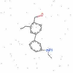 CCNc1cccc(-c2ccc(C=O)c(CC)c2)c1